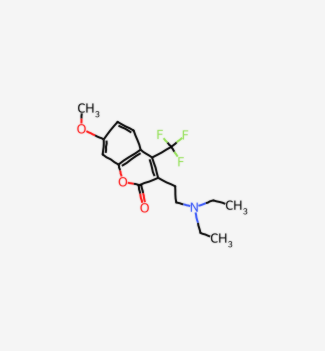 CCN(CC)CCc1c(C(F)(F)F)c2ccc(OC)cc2oc1=O